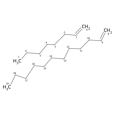 C=CCCCCCC.C=CCCCCCCCCCC